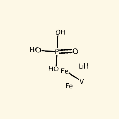 O=P(O)(O)O.[Fe].[LiH].[V][Fe]